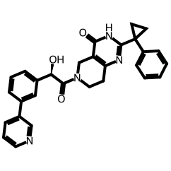 O=C([C@H](O)c1cccc(-c2cccnc2)c1)N1CCc2nc(C3(c4ccccc4)CC3)[nH]c(=O)c2C1